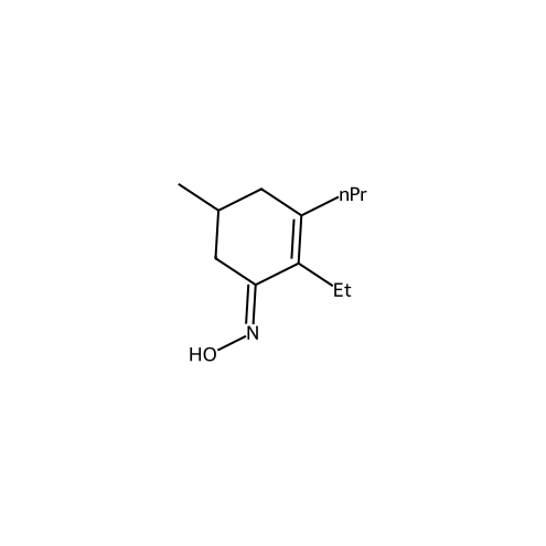 CCCC1=C(CC)C(=NO)CC(C)C1